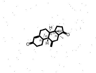 C=C1C[C@]2(C)C(=O)CC[C@H]2[C@@H]2CCC3=CC(=O)CC[C@]3(C)[C@@H]12